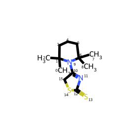 CC1(C)CCCC(C)(C)N1C1=NC(=S)SC1